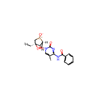 [2H]C[C@@]12C[S+]([O-])[C@@H]([C@H](n3cc(C)c(NC(=O)c4ccccc4)nc3=O)O1)[C@@H]2O